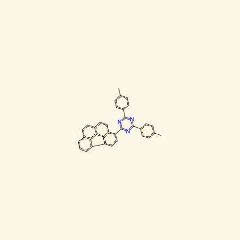 Cc1ccc(-c2nc(-c3ccc(C)cc3)nc(-c3ccc4c5c3ccc3ccc6cccc-4c6c35)n2)cc1